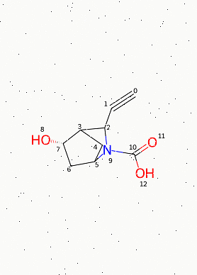 C#CC1C2CC(C[C@@H]2O)N1C(=O)O